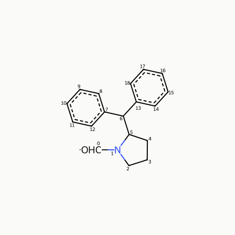 O=[C]N1CCCC1C(c1ccccc1)c1ccccc1